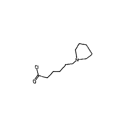 O=C(Cl)CCCCCN1CCCCC1